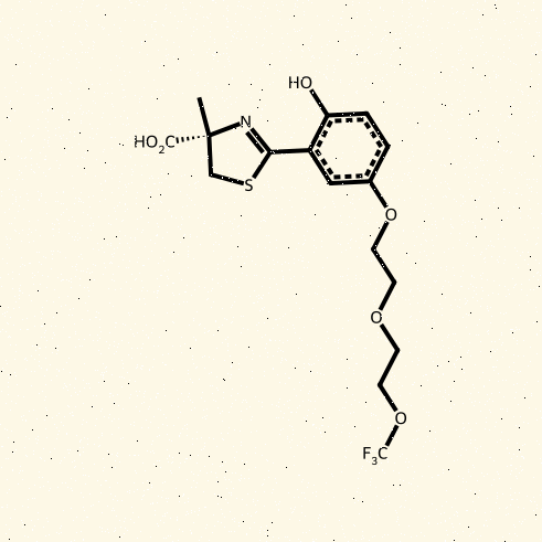 C[C@]1(C(=O)O)CSC(c2cc(OCCOCCOC(F)(F)F)ccc2O)=N1